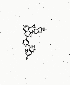 Fc1cnc(Nc2cc(-c3nc(N4CC5CNCC5C4)c4c(C5CC5)cncc4n3)ccn2)c(F)c1